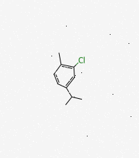 C[C](C)c1ccc(C)c(Cl)c1